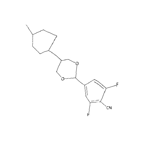 CC1CCC(C2COC(c3cc(F)c(C#N)c(F)c3)OC2)CC1